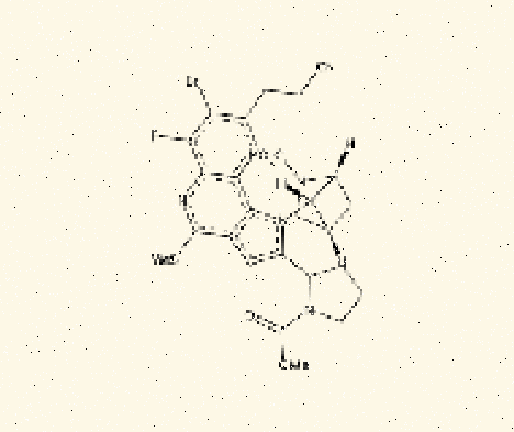 COC(=O)N1CCCC1c1cc2c(SC)nc3c(F)c(Br)c(CCC#N)cc3c2n1[C@H]1[C@@H]2C[C@H]1N(C(=O)O)C2